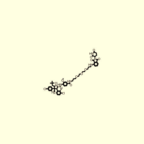 COc1cc(C(=O)NCCCOCCOCCOCCCNc2cccc3c2C(=O)N(C2CCC(=O)NC2=O)C3=O)ccc1NC(=O)[C@H]1NC(CC(C)(C)C)C(C#N)(c2ccc(Cl)cc2F)C1c1cccc(Cl)c1F